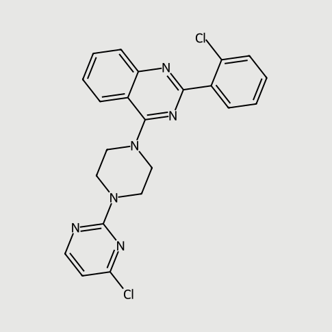 Clc1ccnc(N2CCN(c3nc(-c4ccccc4Cl)nc4ccccc34)CC2)n1